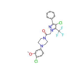 COc1cc(N2CCN(C(=O)Cn3nc(-c4ccccc4)c(Cl)c3C(F)(F)F)CC2)ccc1Cl